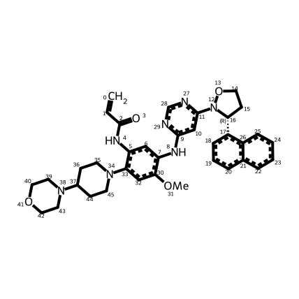 C=CC(=O)Nc1cc(Nc2cc(N3OCC[C@@H]3c3cccc4ccccc34)ncn2)c(OC)cc1N1CCC(N2CCOCC2)CC1